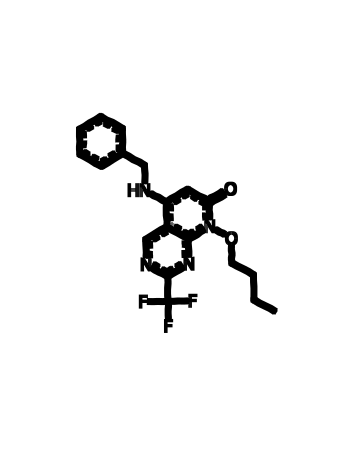 CCCCOn1c(=O)cc(NCc2ccccc2)c2cnc(C(F)(F)F)nc21